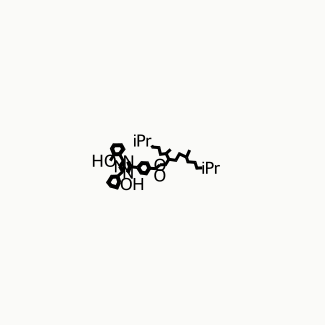 CC(C)CCCC(C)CCC(COC(=O)c1ccc(-c2nc(-c3ccccc3O)nc(-c3ccccc3O)n2)cc1)C(C)CCCC(C)C